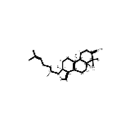 CC(C)=CCC[C@@H](C)[C@H]1CC=C2C3=C(CC[C@@]21C)[C@@]1(C)CCC(=O)C(C)(C)[C@@H]1CC3